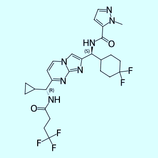 Cn1nccc1C(=O)N[C@H](c1cn2ccc([C@H](NC(=O)CCC(F)(F)F)C3CC3)nc2n1)C1CCC(F)(F)CC1